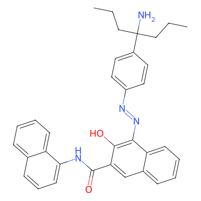 CCCC(N)(CCC)c1ccc(N=Nc2c(O)c(C(=O)Nc3cccc4ccccc34)cc3ccccc23)cc1